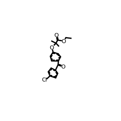 CCOC(=O)C(C)(C)Oc1ccc(C(=O)c2ccc(Cl)cc2)cc1